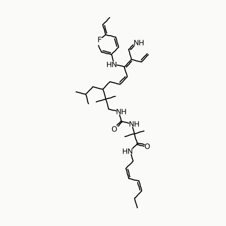 C=C/C(C=N)=C(\C=C/CC(CC(C)C)C(C)(C)CNC(=O)NC(C)(C)C(=O)NC/C=C\C=C/CC)NC(/C=C\C(F)=C/C)=C/C